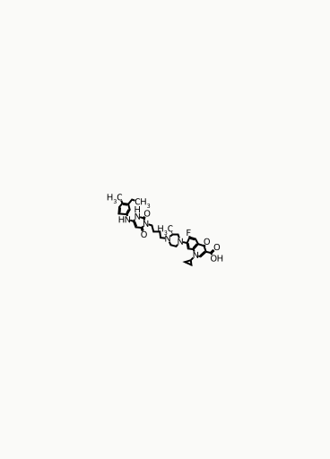 CCc1cc(Nc2cc(=O)n(CCCCN3CCN(c4cc5c(cc4F)c(=O)c(C(=O)O)cn5C4CC4)C[C@H]3C)c(=O)[nH]2)ccc1C